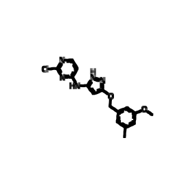 COc1cc(C)cc(COc2cc(Nc3ccnc(Cl)n3)[nH]n2)c1